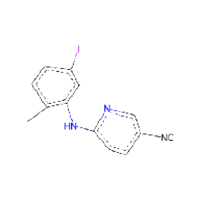 [C-]#[N+]c1ccc(Nc2cc(I)ccc2C)nc1